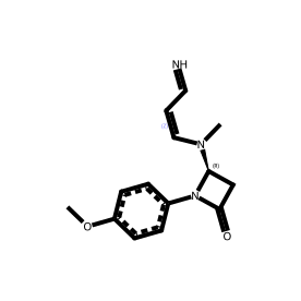 COc1ccc(N2C(=O)C[C@@H]2N(C)/C=C\C=N)cc1